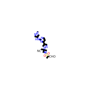 CC(C=O)S(=O)(=O)N1CC(CC#N)(n2cc(-c3ccnc(Nc4cnn(C)c4)n3)cn2)C1